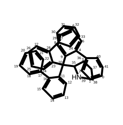 c1ccc(-c2ccccc2C(c2ccccc2-c2ccccc2)(c2ccccc2-c2ccccc2)C2CCCN2)cc1